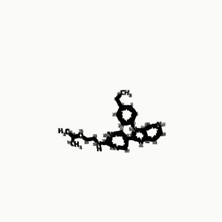 CCc1ccc(-n2c(-c3cnc(NCCOC(C)C)nc3)nc3ccncc32)cc1